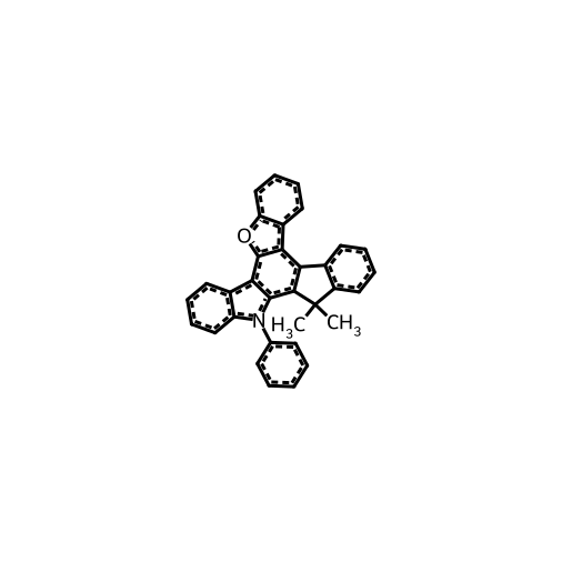 CC1(C)c2ccccc2-c2c1c1c(c3ccccc3n1-c1ccccc1)c1oc3ccccc3c21